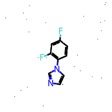 Fc1ccc(-n2c[c]nc2)c(F)c1